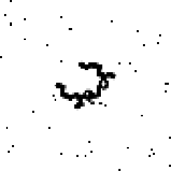 C=C/C=C\C=C(/C=C)OCCP(C)O/C(C=C)=C/C=C\C=C